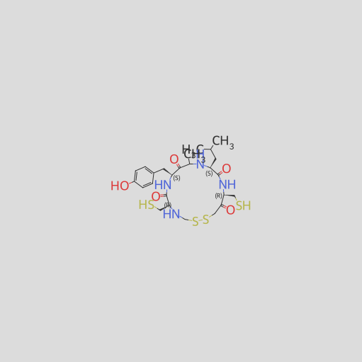 CC(C)C[C@@H]1NC(C)C(=O)[C@H](Cc2ccc(O)cc2)NC(=O)[C@H](CS)NCSSCC(=O)[C@H](CS)NC1=O